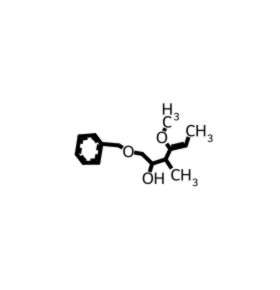 CC=C(OC)C(C)C(O)COCc1ccccc1